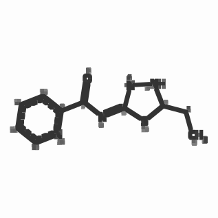 CCC1N[N]C(=NC(=O)c2ccccn2)S1